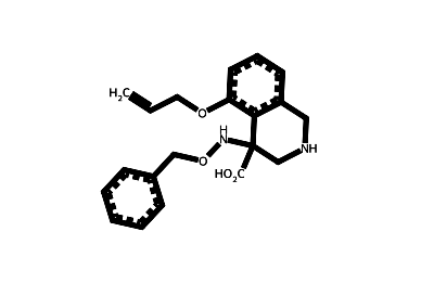 C=CCOc1cccc2c1C(NOCc1ccccc1)(C(=O)O)CNC2